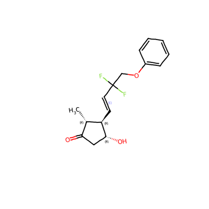 C[C@H]1C(=O)C[C@@H](O)[C@@H]1/C=C/C(F)(F)COc1ccccc1